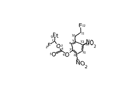 CCC(F)OC(=O)Oc1cc(CCF)c([N+](=O)[O-])cc1[N+](=O)[O-]